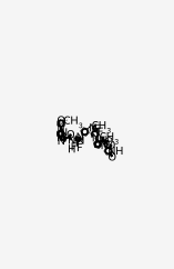 C[C@@H]1CN(c2ccn3ncc(C(=O)Nc4cn([C@H]5CC[C@H](CN(C)C6CCN(c7cccc8c7n(C)c(=O)n8C7CCC(=O)NC7=O)CC6(F)F)CC5)nc4C(F)F)c3n2)CCO1